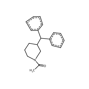 CC(=O)N1CCCC(C(c2ccccc2)c2ccccc2)C1